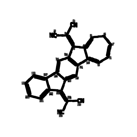 N#CC(C#N)=C1C2=CCC=CC=C2c2cc3c(cc21)-c1ccccc1C3=C(C#N)C#N